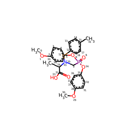 COc1ccc(OP(=O)(CN(Sc2ccc(C)cc2)C(C)C(=O)O)Oc2ccc(OC)cc2)cc1